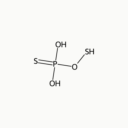 OP(O)(=S)OS